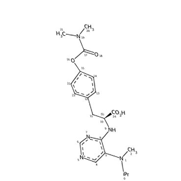 CC(C)N(C)c1cncnc1N[C@@H](Cc1ccc(OC(=O)N(C)C)cc1)C(=O)O